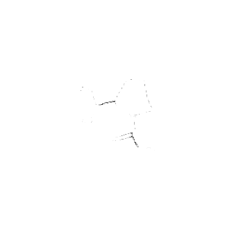 CC(=O)N1CCCC1N(O)O